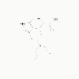 CCCN(CCC)C1Cc2c[nH]c3ccc(C(N)=O)c(c23)C1